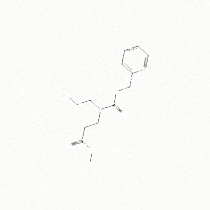 CC(C)(C)OC(=O)CCN(CCO)C(=O)OCc1ccccc1